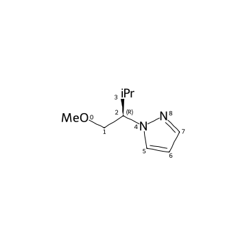 COC[C@@H](C(C)C)n1cccn1